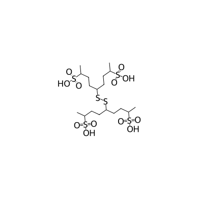 CC(CCC(CCC(C)S(=O)(=O)O)SSC(CCC(C)S(=O)(=O)O)CCC(C)S(=O)(=O)O)S(=O)(=O)O